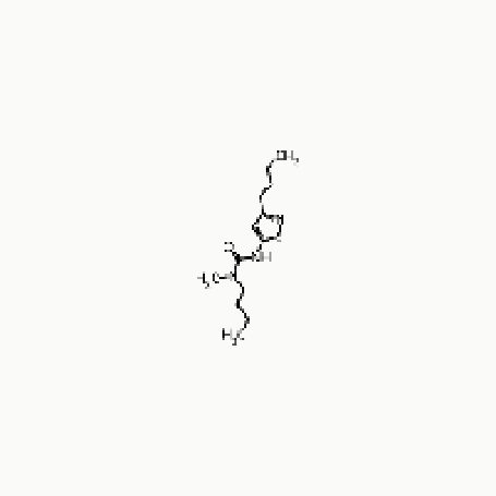 CCCCc1cc(NC(=O)N(C)CCCC)sn1